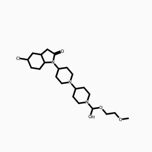 COCCOC(O)N1CCC(N2CCC(N3C(=O)CC4CC(Cl)CCC43)CC2)CC1